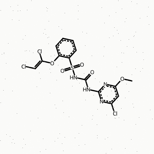 COc1cc(Cl)nc(NC(=O)NS(=O)(=O)c2ccccc2OC(Cl)=CCl)n1